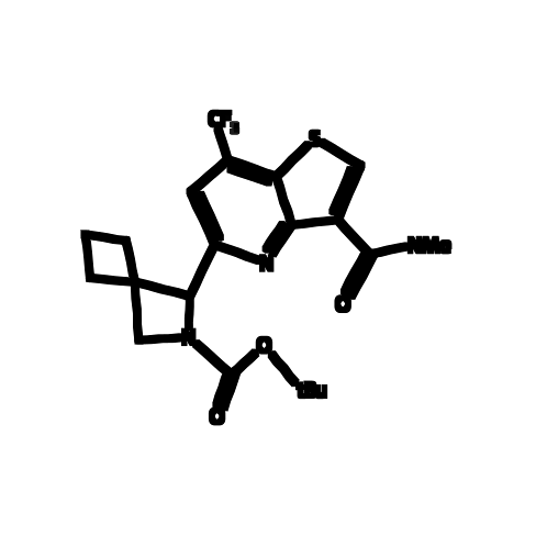 CNC(=O)c1csc2c(C(F)(F)F)cc(C3N(C(=O)OC(C)(C)C)CC34CCC4)nc12